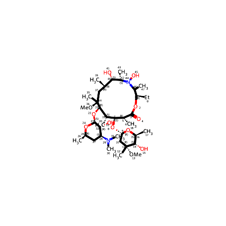 CC[C@H]1OC(=O)[C@H](C)[C@@H](O[C@H]2C[C@@](C)(OC)[C@@H](O)[C@H](C)O2)[C@H](C)[C@@H](O[C@@H]2O[C@H](C)C[C@H](N(C)C)[C@H]2O)[C@@](C)(OC)C[C@@H](C)[C@H](O)[C@H](C)N(O)C1C